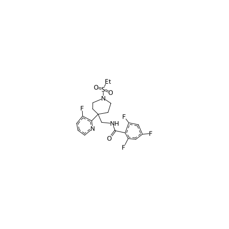 CCS(=O)(=O)N1CCC(CNC(=O)c2c(F)cc(F)cc2F)(c2ncccc2F)CC1